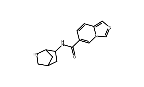 O=C(NC1CC2CNC1C2)c1ccc2cncn2c1